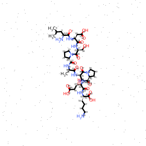 CC(C)C[C@H](N)C(=O)N[C@@H](CC(=O)O)C(=O)N[C@@H](CO)C(=O)N1CCC[C@H]1C(=O)N[C@@H](C)C(=O)N[C@H](C(=O)N1CCC[C@H]1C(=O)N[C@@H](CCC(=O)O)C(=O)N[C@@H](CCCCN)C(=O)O)[C@@H](C)O